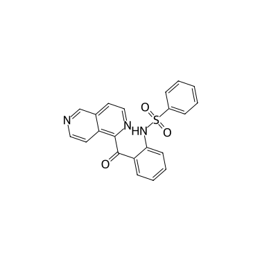 O=C(c1ccccc1NS(=O)(=O)c1ccccc1)c1nccc2cnccc12